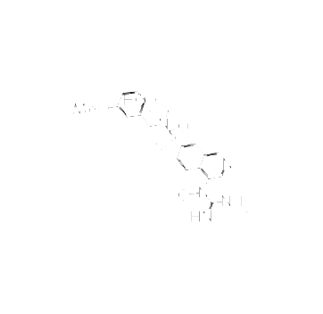 COc1cccc(CN(CC(=O)O)S(=O)(=O)c2ccc3c(N(Cl)C(=N)N)cncc3c2)c1